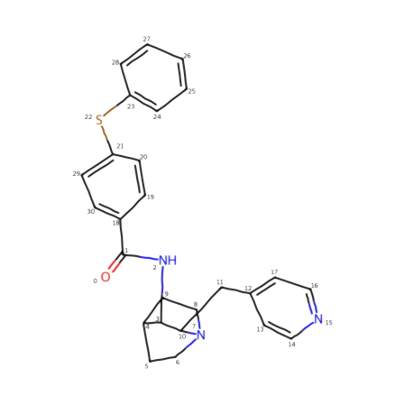 O=C(NC1C2CCN(CC2)C1Cc1ccncc1)c1ccc(Sc2ccccc2)cc1